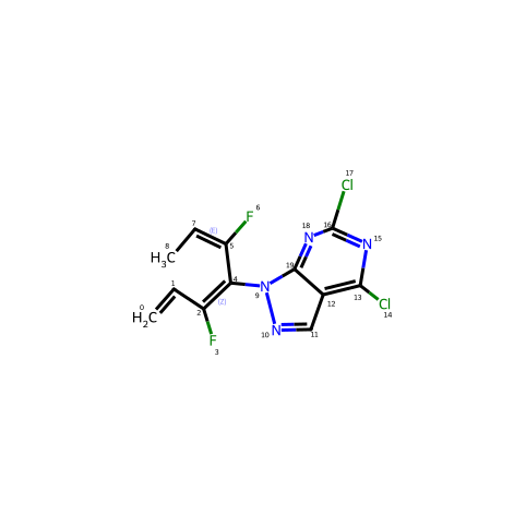 C=C/C(F)=C(\C(F)=C/C)n1ncc2c(Cl)nc(Cl)nc21